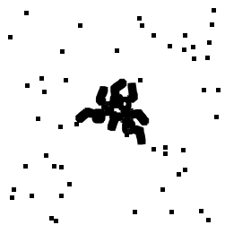 CCO[Si](CC)(OCC)C(C)[Si](CC)(OCC)OCC